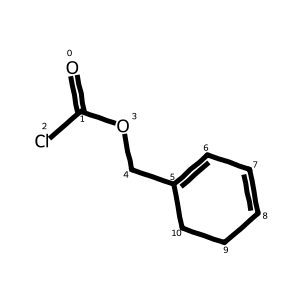 O=C(Cl)OCC1=CC=CCC1